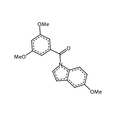 COc1cc(OC)cc(C(=O)n2ccc3cc(OC)ccc32)c1